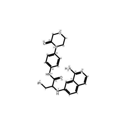 CC(C)CC(Nc1ccc2ccnc(N)c2c1)C(=O)Nc1ccc(N2CCOCC2=O)cc1